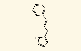 C(=Cc1ccccc1)Cc1ccc[nH]1